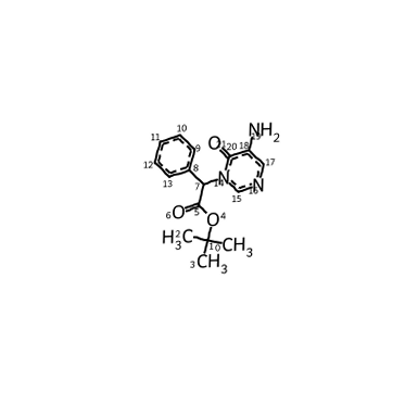 CC(C)(C)OC(=O)C(c1ccccc1)n1cncc(N)c1=O